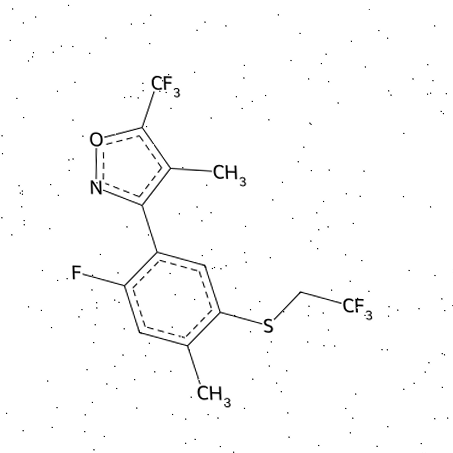 Cc1cc(F)c(-c2noc(C(F)(F)F)c2C)cc1SCC(F)(F)F